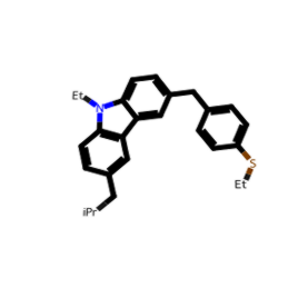 CCSc1ccc(Cc2ccc3c(c2)c2cc(CC(C)C)ccc2n3CC)cc1